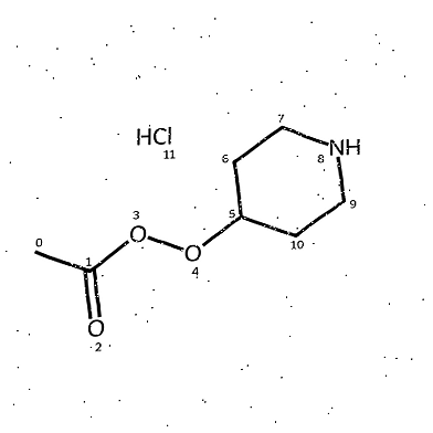 CC(=O)OOC1CCNCC1.Cl